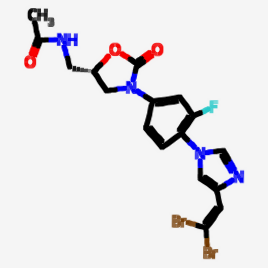 CC(=O)NC[C@H]1CN(c2ccc(-n3cnc(C=C(Br)Br)c3)c(F)c2)C(=O)O1